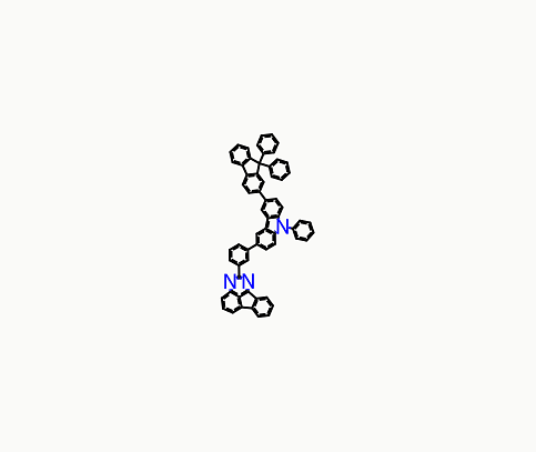 c1ccc(-n2c3ccc(-c4cccc(-c5nc6c7c(cccc7n5)-c5ccccc5-6)c4)cc3c3cc(-c4ccc5c(c4)C(c4ccccc4)(c4ccccc4)c4ccccc4-5)ccc32)cc1